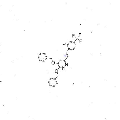 Cc1cc(C(F)(F)F)ccc1/C=C/c1cc(OCc2ccccc2)c(OCc2ccccc2)nn1